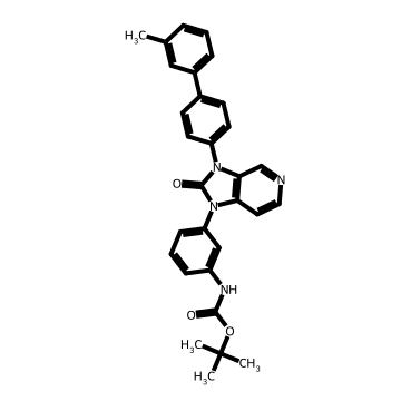 Cc1cccc(-c2ccc(-n3c(=O)n(-c4cccc(NC(=O)OC(C)(C)C)c4)c4ccncc43)cc2)c1